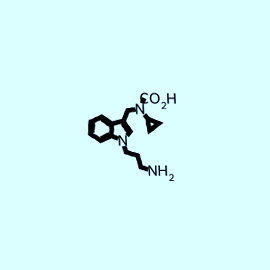 NCCCn1cc(CN(C(=O)O)C2CC2)c2ccccc21